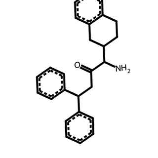 NC(C(=O)CC(c1ccccc1)c1ccccc1)C1CCc2ccccc2C1